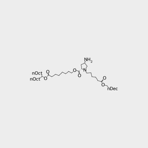 CCCCCCCCCCCOC(=O)CCCCCN1C[C@H](N)C[C@H]1C(=O)OCCCCCCCC(=O)OC(CCCCCCCC)CCCCCCCC